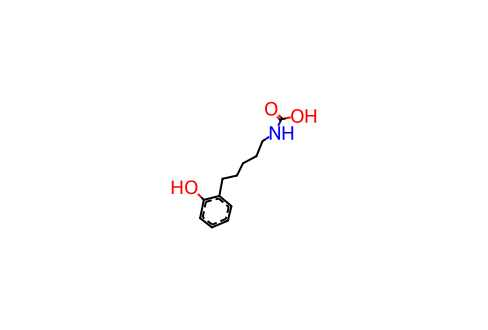 O=C(O)NCCCCCc1ccccc1O